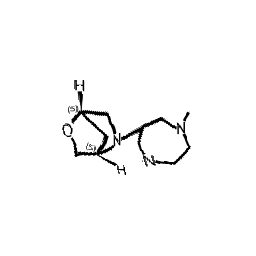 CN1CC[N]C(N2C[C@@H]3C[C@H]2CO3)C1